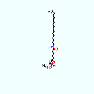 CCCCCCCCCCCCCCCCNC(=O)CCCCCOP(=O)(S)C(C)C